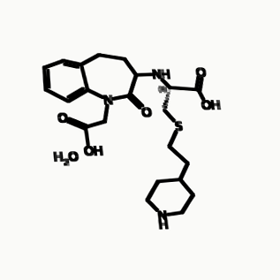 O.O=C(O)CN1C(=O)C(N[C@@H](CSCCC2CCNCC2)C(=O)O)CCc2ccccc21